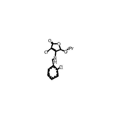 CC(C)OC1OC(=O)C(Cl)=C1NCc1ccccc1Cl